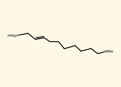 CCCCCCCCC=CCCCCCCCNC